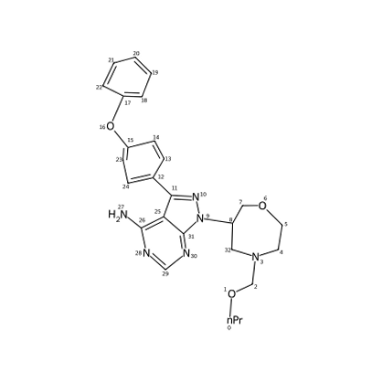 CCCOCN1CCOCC(n2nc(-c3ccc(Oc4ccccc4)cc3)c3c(N)ncnc32)C1